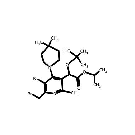 Cc1nc(CBr)c(Br)c(N2CCC(C)(C)CC2)c1C(OC(C)(C)C)C(=O)OC(C)C